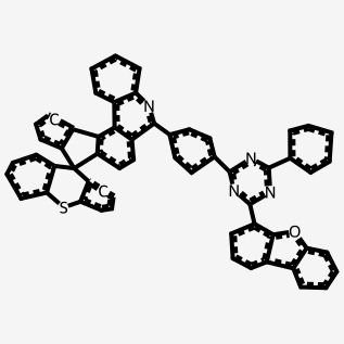 c1ccc(-c2nc(-c3ccc(-c4nc5ccccc5c5c6c(ccc45)C4(c5ccccc5Sc5ccccc54)c4ccccc4-6)cc3)nc(-c3cccc4c3oc3ccccc34)n2)cc1